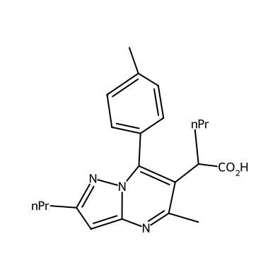 CCCc1cc2nc(C)c(C(CCC)C(=O)O)c(-c3ccc(C)cc3)n2n1